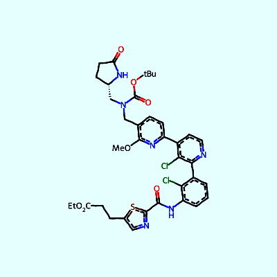 CCOC(=O)CCc1cnc(C(=O)Nc2cccc(-c3nccc(-c4ccc(CN(C[C@@H]5CCC(=O)N5)C(=O)OC(C)(C)C)c(OC)n4)c3Cl)c2Cl)s1